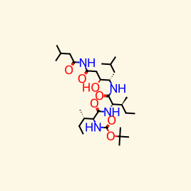 CC[C@H](C)[C@H](NC(=O)OC(C)(C)C)C(=O)N[C@H](C(=O)N[C@@H](CC(C)C)[C@@H](O)CC(=O)NC(=O)CC(C)C)[C@@H](C)CC